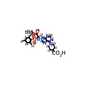 Cc1cc(C)c(S(=O)(=O)N[C@@H](Cn2cnc3c(N4CCC(C(=O)O)CC4)ncnc32)C(=O)OC(C)(C)C)c(C)c1